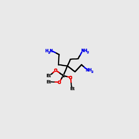 CCO[Si](OCC)(OCC)C(CCN)(CCN)CCN